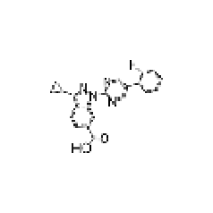 O=C(O)c1ccc2c(C3CC3)nn(-c3ncc(-c4ccccc4F)cn3)c2c1